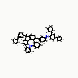 CC1(c2cccc(-c3ccccc3)c2)c2ccc(-c3cccc(Nc4ccc(-c5ccccc5)cc4-c4ccccc4)c3)c3c2-c2c1ccc1c4ccccc4n(c21)-c1ccccc1-3